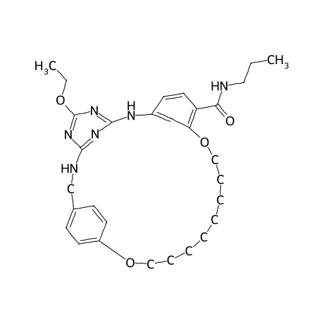 CCCNC(=O)c1ccc2cc1OCCCCCCCCOc1ccc(cc1)CNc1nc(nc(OCC)n1)N2